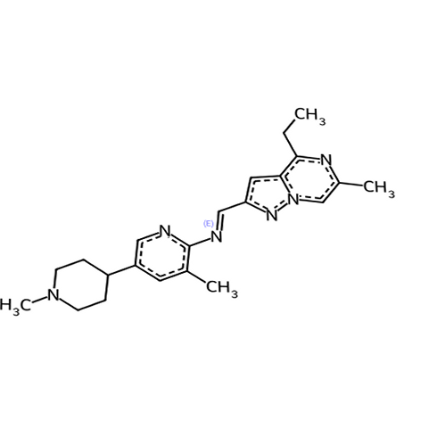 CCc1nc(C)cn2nc(/C=N/c3ncc(C4CCN(C)CC4)cc3C)cc12